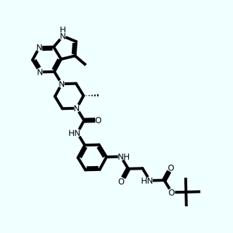 Cc1c[nH]c2ncnc(N3CCN(C(=O)Nc4cccc(NC(=O)CNC(=O)OC(C)(C)C)c4)[C@@H](C)C3)c12